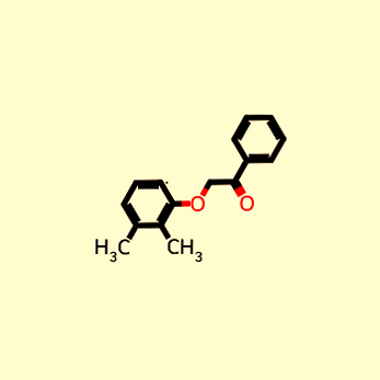 Cc1cc[c]c(OCC(=O)c2ccccc2)c1C